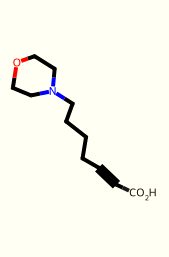 O=C(O)C#CCCCCN1CCOCC1